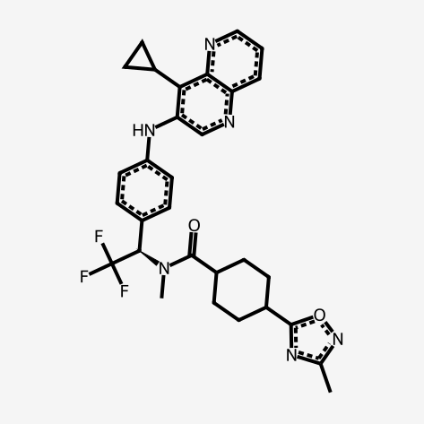 Cc1noc(C2CCC(C(=O)N(C)[C@H](c3ccc(Nc4cnc5cccnc5c4C4CC4)cc3)C(F)(F)F)CC2)n1